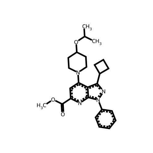 COC(=O)c1cc(N2CCC(OC(C)C)CC2)c2c(C3CCC3)nn(-c3ccccc3)c2n1